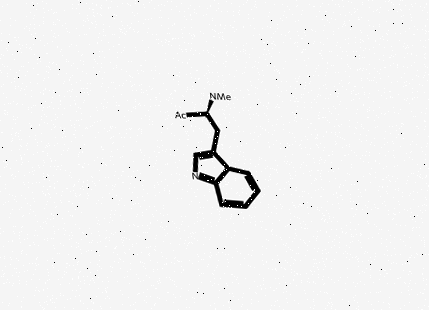 CN[C@@H](CC1=CN=C2C=CC=CC12)C(C)=O